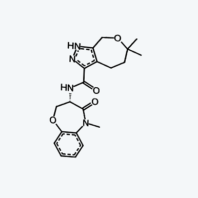 CN1C(=O)[C@@H](NC(=O)c2n[nH]c3c2CCC(C)(C)OC3)COc2ccccc21